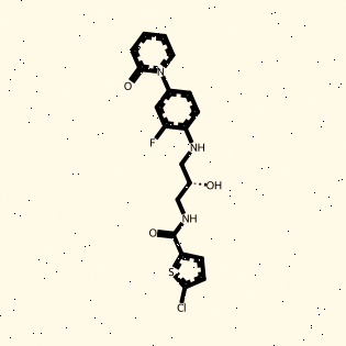 O=C(NC[C@@H](O)CNc1ccc(-n2ccccc2=O)cc1F)c1ccc(Cl)s1